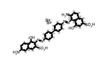 Nc1ccc2c(O)c(N=Nc3ccc(-c4ccc(N=Nc5c(N)ccc6cc(S(=O)(=O)O)cc(O)c56)cc4)cc3)c(S(=O)(=O)O)cc2c1.[Na].[Na]